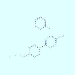 COCc1ccc(-c2cnc(N)c(Cc3ccccc3)n2)cc1